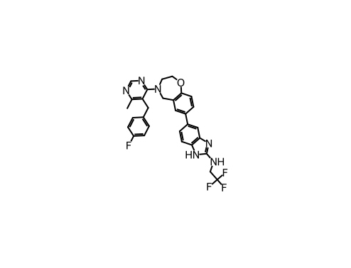 Cc1ncnc(N2CCOc3ccc(-c4ccc5[nH]c(NCC(F)(F)F)nc5c4)cc3C2)c1Cc1ccc(F)cc1